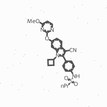 CCCS(=O)(=O)Nc1ccc(-c2c(C#N)c3ccc(Oc4nccc(OC)n4)cc3n2C2CCC2)cc1